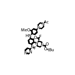 COc1cc(N2CCN(C(C)=O)CC2)ccc1Nc1ccc(N(F)c2ccncn2)c(N2CCN(C(=O)OC(C)(C)C)CC2)c1OC(F)F